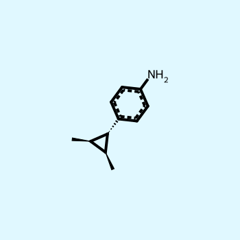 C[C@@H]1[C@H](C)[C@H]1c1ccc(N)cc1